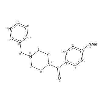 CNc1ccc(C(=O)N2CCN(Cc3cccnc3)CC2)cc1